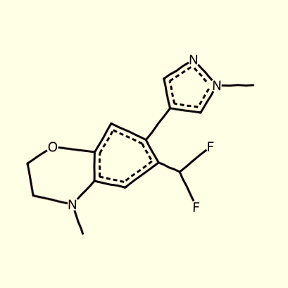 CN1CCOc2cc(-c3cnn(C)c3)c(C(F)F)cc21